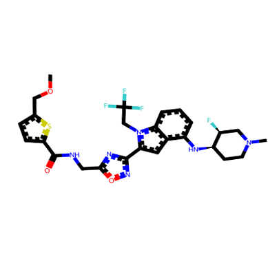 COCc1ccc(C(=O)NCc2nc(-c3cc4c(N[C@@H]5CCN(C)C[C@@H]5F)cccc4n3CC(F)(F)F)no2)s1